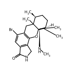 CN[C@@H]1CC(C)(C)[C@@H]2CC[C@H](C)C3(C)Cc4c(Br)cc5c(c4O[C@@]23C1)CNC5=O